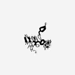 NC(=O)c1c(-c2ccc(NS(=O)(=O)C(F)F)cc2OCCc2ccc(F)cc2)n[nH]c1Nc1cnccn1